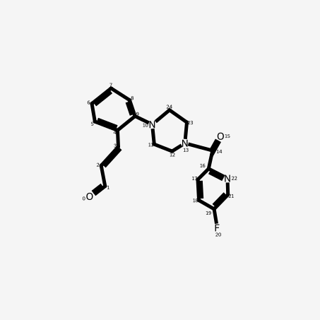 O=C/C=C/c1ccccc1N1CCN(C(=O)c2ccc(F)cn2)CC1